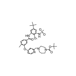 COc1c(NC(=O)c2ccc(C)c(Oc3ccnc(CN4CCCN(C(=O)OC(C)(C)C)CC4)c3)c2)cc(C(C)(C)C)cc1NS(C)(=O)=O